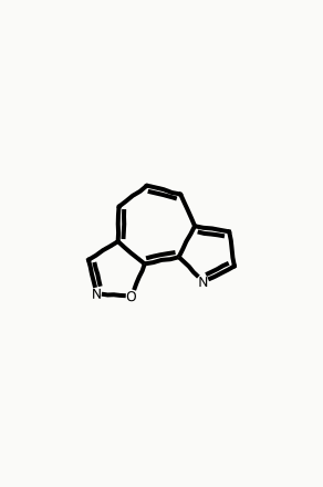 c1cc2ccnc-2c2oncc2c1